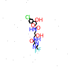 O=C(NC[C@@H](O)CCNC(=O)[C@H]1C[C@@H](O)c2cc(Cl)ccc2O1)c1cnc(C(F)F)cn1